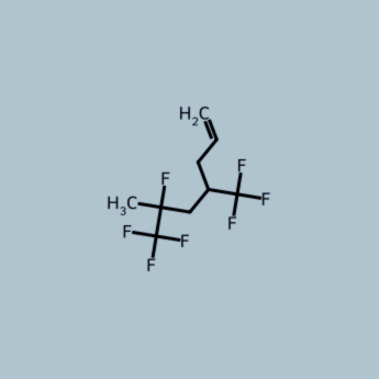 C=CCC(CC(C)(F)C(F)(F)F)C(F)(F)F